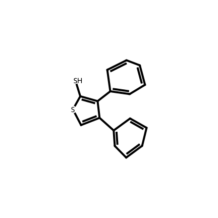 Sc1scc(-c2ccccc2)c1-c1ccccc1